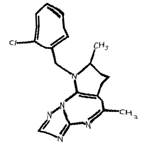 Cc1nc2ncnn2c2c1CC(C)N2Cc1ccccc1Cl